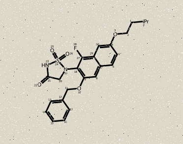 CC(C)CCOc1ccc2cc(OCc3ccccc3)c(N3CC(=O)NS3(=O)=O)c(F)c2c1